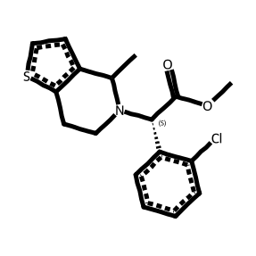 COC(=O)[C@H](c1ccccc1Cl)N1CCc2sccc2C1C